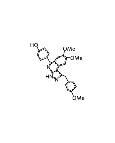 COc1ccc(Cc2n[nH]c3nc(-c4ccc(O)cc4)c4cc(OC)c(OC)cc4c23)cc1